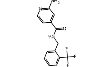 Nc1cc(C(=O)NCc2ccccc2C(F)(F)F)ccn1